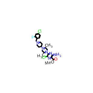 COC(=O)c1nc(Cl)c(N2C[C@H](C)N(C3CCN(Cc4ccc(Cl)cc4F)CC3)C[C@H]2C)nc1N